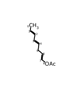 CC=CC=CCC=COC(C)=O